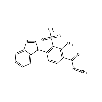 C=NC(=O)c1ccc(-n2cnc3ccccc32)c(S(C)(=O)=O)c1C